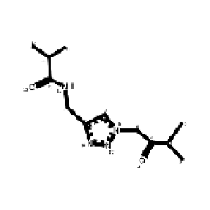 CC(C)C(=O)Cn1cc(CNC(=O)C(C)C)nn1